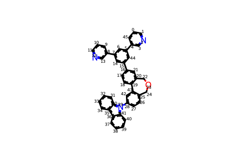 c1cncc(-c2cc(-c3cccnc3)cc(-c3ccc4c(c3)COCc3ccc(-n5c6ccccc6c6ccccc65)cc3-4)c2)c1